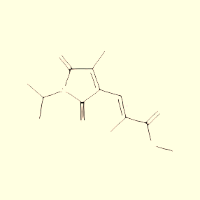 COC(=O)/C(C)=C/C1=C(C)C(=O)N(C(C)C)C1=O